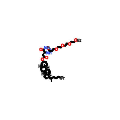 CCOCCOCCOCCOCCC(=O)N[C@@H](CC(=O)O[C@H]1CC[C@@]2(C)[C@H](CC[C@@H]3[C@@H]2CC[C@]2(C)[C@@H]([C@H](C)CCCC(C)C)CC[C@@H]32)C1)C(N)=O